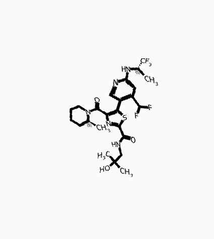 C[C@H](Nc1cc(C(F)F)c(-c2sc(C(=O)NCC(C)(C)O)nc2C(=O)N2CCCC[C@@H]2C)cn1)C(F)(F)F